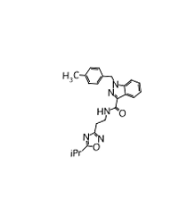 Cc1ccc(Cn2nc(C(=O)NCCc3noc(C(C)C)n3)c3ccccc32)cc1